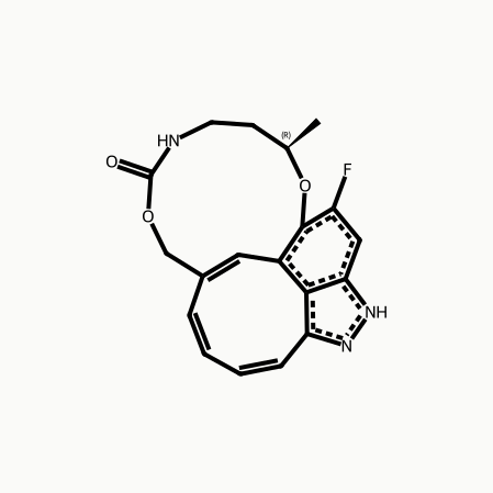 C[C@@H]1CCNC(=O)OCC2=Cc3c(c(F)cc4[nH]nc(c34)C=CC=C2)O1